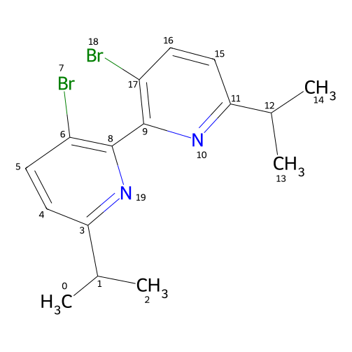 CC(C)c1ccc(Br)c(-c2nc(C(C)C)ccc2Br)n1